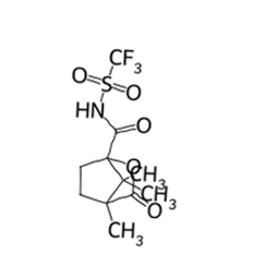 CC12CCC(C(=O)NS(=O)(=O)C(F)(F)F)(OC1=O)C2(C)C